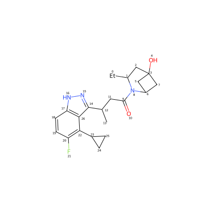 CCC1CC2(O)CC(C2)N1C(=O)CC(C)c1n[nH]c2ccc(F)c(C3CC3)c12